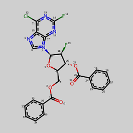 O=C(OC[C@H]1O[C@@H](n2cnc3c(Cl)nc(F)nc32)[C@@H](F)[C@@H]1OC(=O)c1ccccc1)c1ccccc1